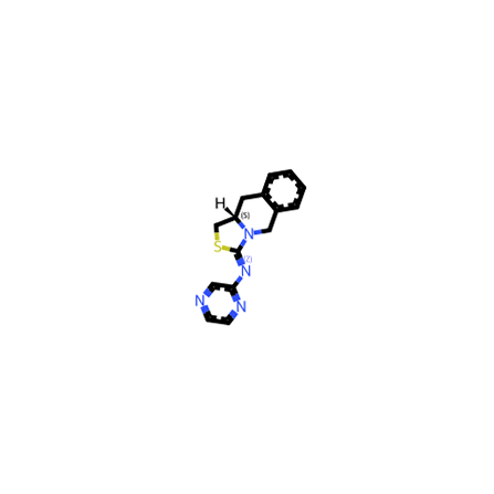 c1ccc2c(c1)C[C@H]1CS/C(=N\c3cnccn3)N1C2